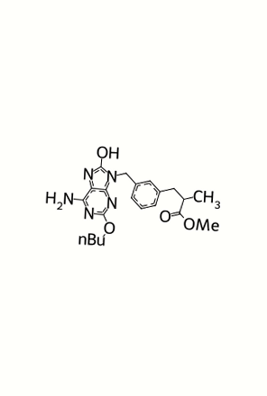 CCCCOc1nc(N)c2nc(O)n(Cc3cccc(CC(C)C(=O)OC)c3)c2n1